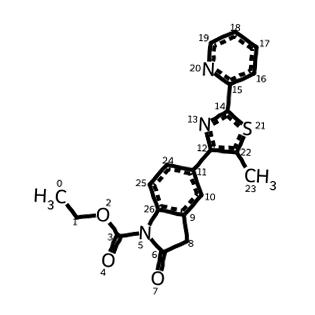 CCOC(=O)N1C(=O)Cc2cc(-c3nc(-c4ccccn4)sc3C)ccc21